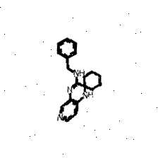 c1ccc(CNC2=Nc3cnccc3NC23CCCCC3)cc1